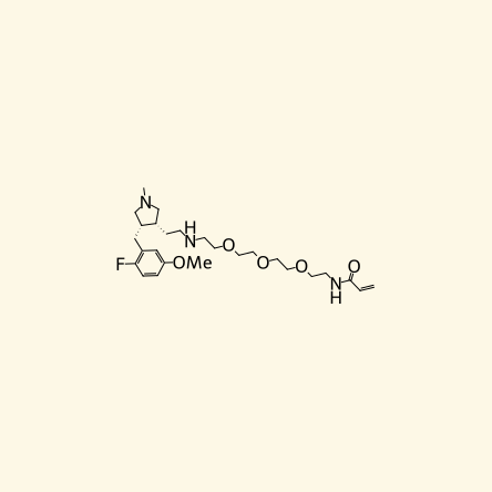 C=CC(=O)NCCOCCOCCOCCNCC[C@H]1CN(C)C[C@H]1Cc1cc(OC)ccc1F